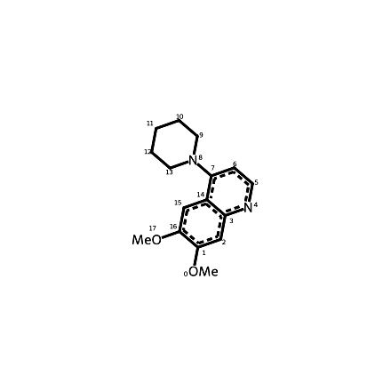 COc1cc2nccc(N3CCCCC3)c2cc1OC